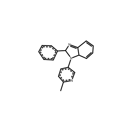 Cc1ccc(N2C3C=CC=CC3=NC2c2ccccc2)cn1